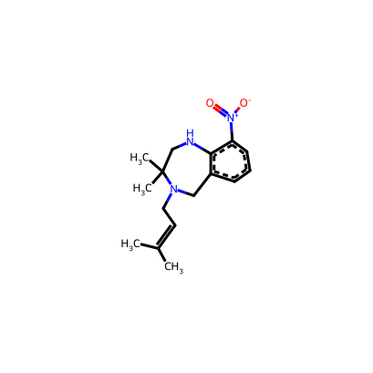 CC(C)=CCN1Cc2cccc([N+](=O)[O-])c2NCC1(C)C